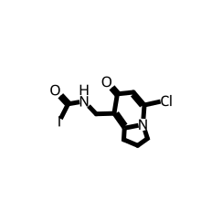 O=C(I)NCc1c2n(c(Cl)cc1=O)CCC2